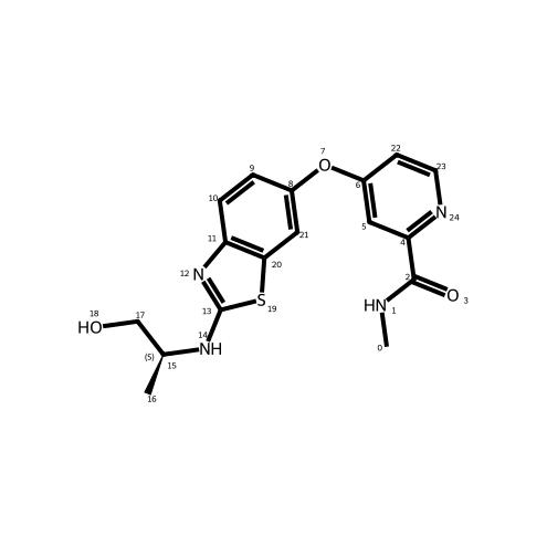 CNC(=O)c1cc(Oc2ccc3nc(N[C@@H](C)CO)sc3c2)ccn1